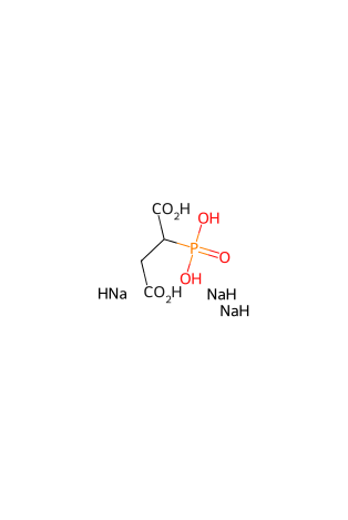 O=C(O)CC(C(=O)O)P(=O)(O)O.[NaH].[NaH].[NaH]